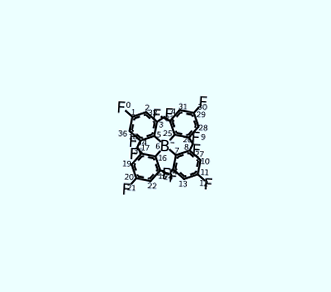 Fc1cc(F)c([B-](c2c(F)cc(F)cc2F)(c2c(F)cc(F)cc2F)c2c(F)cc(F)cc2F)c(F)c1